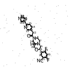 N#Cc1cc([C@@H]2CN3CCN(C(=O)Cc4ccc(-n5cnnn5)nc4)C[C@H]3CO2)c(F)cc1F